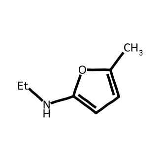 CCNc1ccc(C)o1